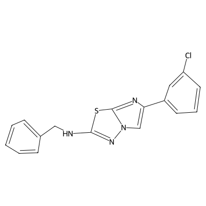 Clc1cccc(-c2cn3nc(NCc4ccccc4)sc3n2)c1